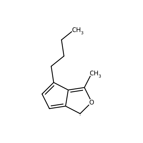 CCCCC1=CC=C2[CH]OC(C)=C21